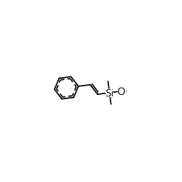 C[Si](C)([O])C=Cc1ccccc1